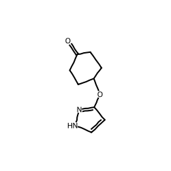 O=C1CCC(Oc2cc[nH]n2)CC1